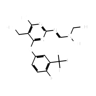 CCc1c(C)nc(/N=C/N(C)CC)nc1Oc1ccc(F)c(C(F)(F)F)c1